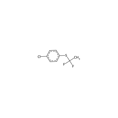 CC(F)(F)Sc1ccc(Cl)cc1